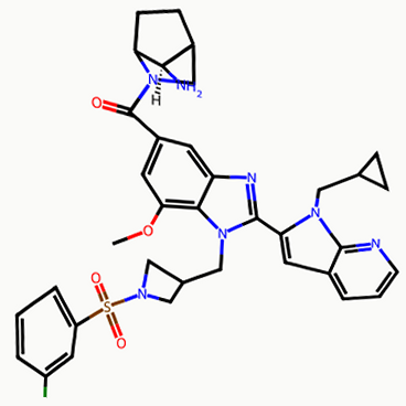 COc1cc(C(=O)N2CC3CCC2[C@@H]3N)cc2nc(-c3cc4cccnc4n3CC3CC3)n(CC3CN(S(=O)(=O)c4cccc(F)c4)C3)c12